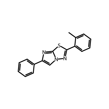 Cc1ccccc1-c1nn2cc(-c3ccccc3)nc2s1